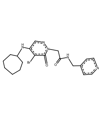 O=C(Cn1ncc(NC2CCCCCC2)c(Br)c1=O)NCc1ccncc1